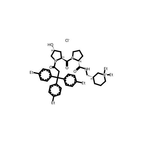 CCc1ccc(C(CC(=O)N2C[C@H](O)C[C@H]2C(=O)N2CCC[C@@H]2C(=O)NC[C@H]2CCC[N+](CC)(CC)C2)(c2ccc(CC)cc2)c2ccc(CC)cc2)cc1.[Cl-]